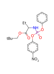 CCC(NP(=O)(Oc1ccccc1)Oc1ccc([N+](=O)[O-])cc1)C(=O)OCC(C)(C)C